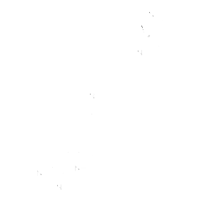 NC[C@H]1CCN1CCCCNc1cc(F)c(S(=O)(=O)Nc2ncns2)cc1Cl